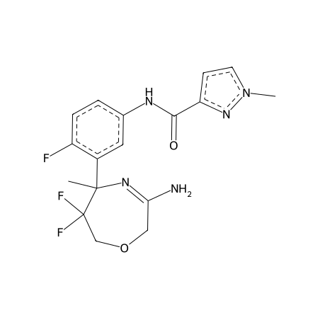 Cn1ccc(C(=O)Nc2ccc(F)c(C3(C)N=C(N)COCC3(F)F)c2)n1